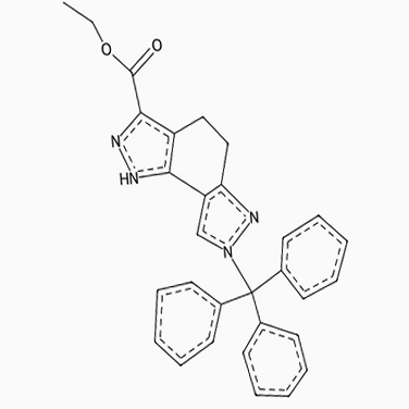 CCOC(=O)c1n[nH]c2c1CCc1nn(C(c3ccccc3)(c3ccccc3)c3ccccc3)cc1-2